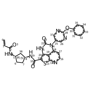 C=CC(=O)N[C@@H]1CC[C@H](NC(=O)c2sc3nccc4c3c2NC(=O)N4c2cnc(Oc3ccccc3)nc2)C1